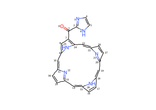 O=C(c1ncc[nH]1)c1cc2cc3nc(cc4ccc(cc5nc(cc1[nH]2)C=C5)[nH]4)C=C3